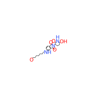 O=CCCCCCCNc1ccc2c(c1)C(=O)N(C1CCC(O)NC1=O)C2=O